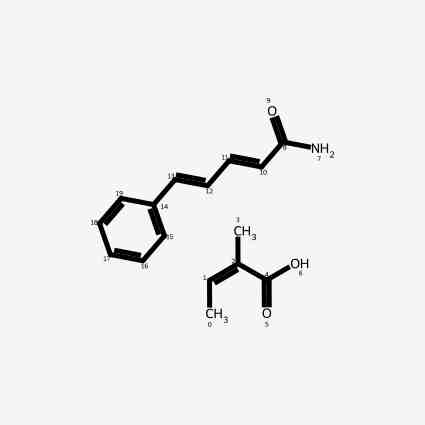 CC=C(C)C(=O)O.NC(=O)C=CC=Cc1ccccc1